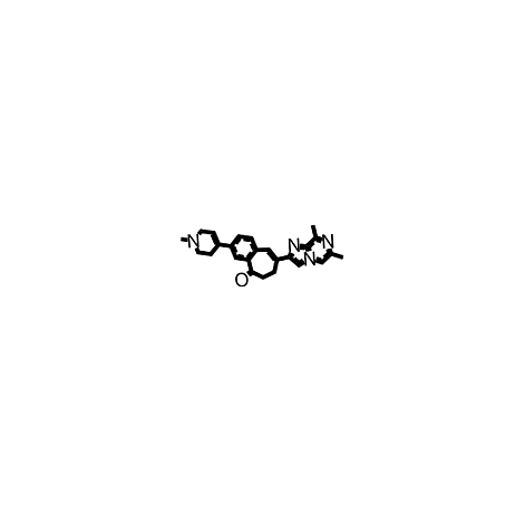 Cc1cn2cc(C3=Cc4ccc(C5=CCN(C)CC5)cc4C(=O)CC3)nc2c(C)n1